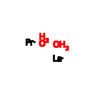 O.O.[La].[Pr]